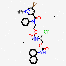 CCC[n+]1cc(Br)cc(C(=O)N(CCOC(=O)NC(C)COC(=O)Nc2cccc3ccccc23)c2ccccc2)c1.[Cl-]